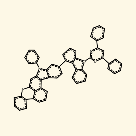 c1ccc(-c2cc(-c3ccccc3)nc(-n3c4ccccc4c4c(-c5ccc6c7c8cccc9c8c(cc7n(-c7ccccc7)c6c5)Sc5ccccc5-9)cccc43)n2)cc1